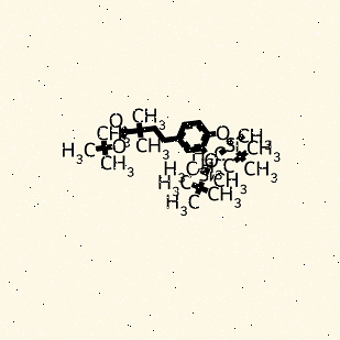 CC(C)(C)OC(=O)C(C)(C)CCc1ccc(O[Si](C)(C)C(C)(C)C)c(O[Si](C)(C)C(C)(C)C)c1